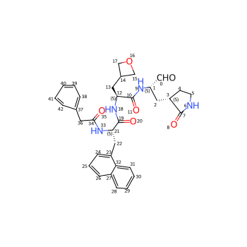 O=C[C@H](C[C@@H]1CCNC1=O)NC(=O)[C@H](CC1COC1)NC(=O)[C@H](Cc1cccc2ccccc12)NC(=O)Cc1ccccc1